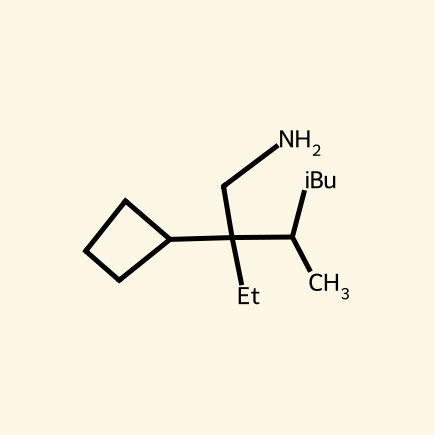 CCC(C)C(C)C(CC)(CN)C1CCC1